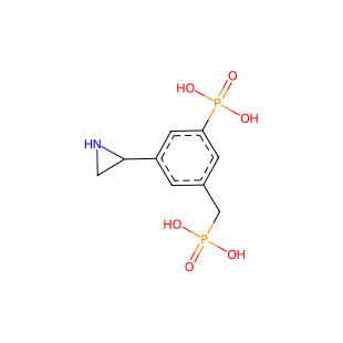 O=P(O)(O)Cc1cc(C2CN2)cc(P(=O)(O)O)c1